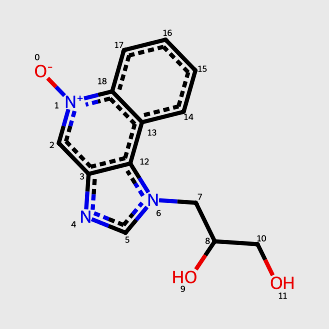 [O-][n+]1cc2ncn(CC(O)CO)c2c2ccccc21